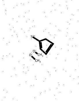 C[O-].C[O-].[Ti+2][C]1=CC=CC1